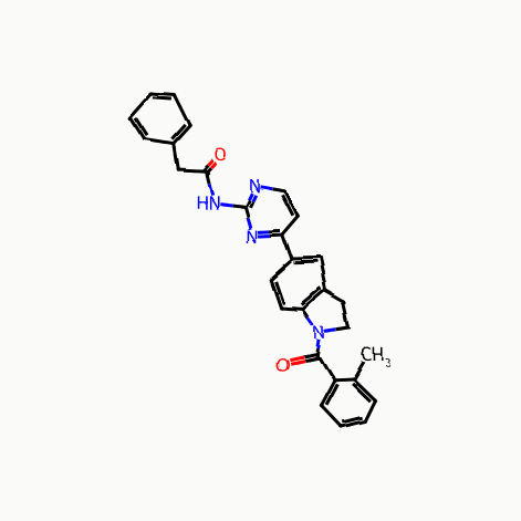 Cc1ccccc1C(=O)N1CCc2cc(-c3ccnc(NC(=O)Cc4ccccc4)n3)ccc21